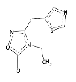 CCn1c(Cc2cncs2)noc1=O